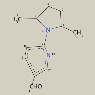 CC1CCC(C)N1c1ccc(C=O)cn1